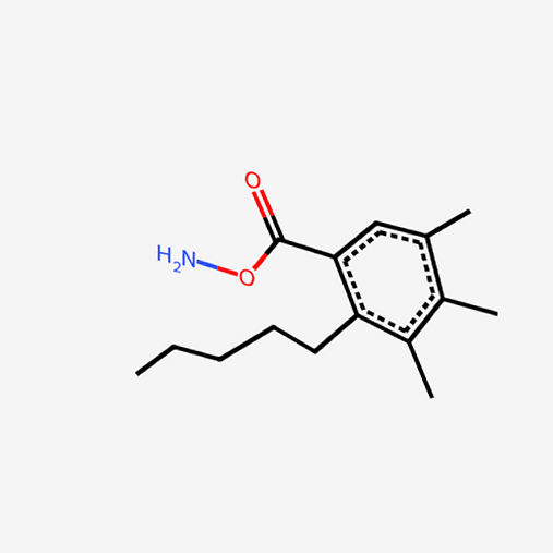 CCCCCc1c(C(=O)ON)cc(C)c(C)c1C